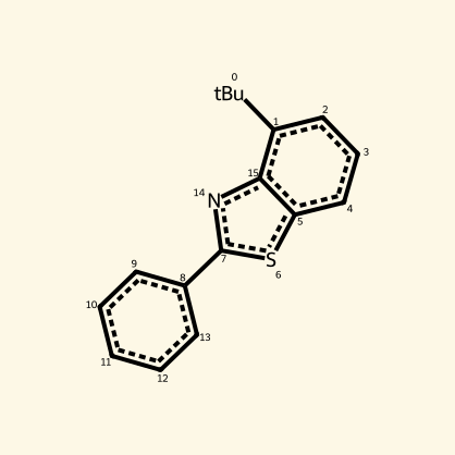 CC(C)(C)c1cccc2sc(-c3ccccc3)nc12